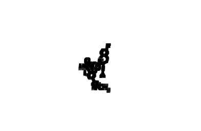 Cn1cc(-c2ccc3c(c2)CC[C@@]32NC(=O)N(CC(=O)N3Cc4ccc(F)cc4CCC3C#CC3CC3)C2=O)cn1